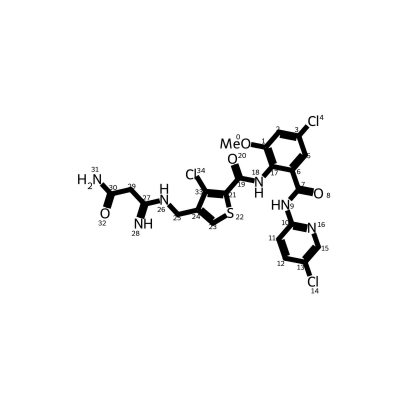 COc1cc(Cl)cc(C(=O)Nc2ccc(Cl)cn2)c1NC(=O)c1scc(CNC(=N)CC(N)=O)c1Cl